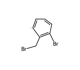 BrCc1[c]cccc1Br